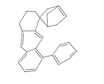 C1=C2CC(C1)C1(CCCc3cc4cccc(-c5ccccc5)c4cc31)C2